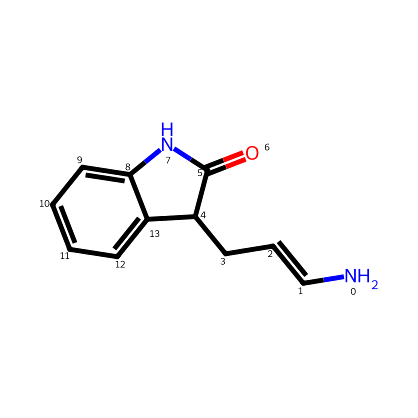 NC=CCC1C(=O)Nc2ccccc21